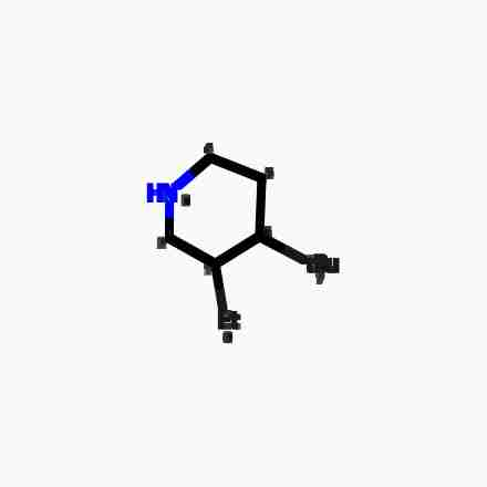 CCC1CNCCC1C(C)(C)C